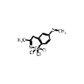 CSc1ccc2c(c1)CC(C)=N[Te]2(Cl)(Cl)Cl